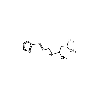 CC(C)CC(C)NC/C=C/c1ccco1